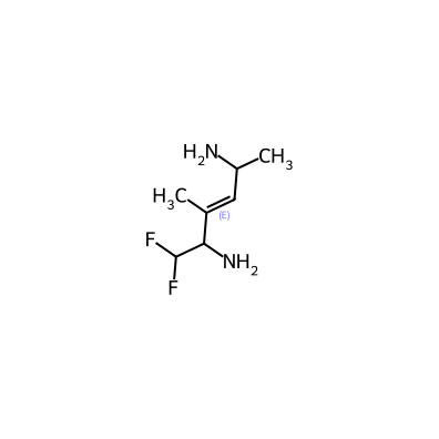 C/C(=C\C(C)N)C(N)C(F)F